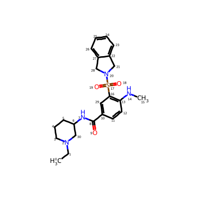 CCN1CCCC(NC(=O)c2ccc(NC)c(S(=O)(=O)N3Cc4ccccc4C3)c2)C1